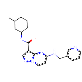 CC1CCCC(NC(=O)c2cnn3ccc(NCc4cccnc4)nc23)C1